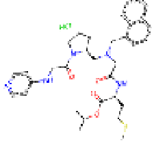 CSCC[C@H](NC(=O)CN(Cc1cccc2ccccc12)C[C@@H]1CCCN1C(=O)CNc1ccncc1)C(=O)OC(C)C.Cl